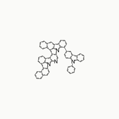 c1ccc(-n2c3ccccc3c3cc(-c4cccc5c6cc7ccccc7c7c8c9c%10cccc%11c%12c%13ccccc%13ccc%12n(c9ncc8n(c45)c67)c%11%10)ccc32)cc1